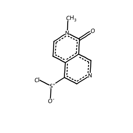 Cn1ccc2c([S+]([O-])Cl)cncc2c1=O